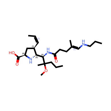 C/C=C\[C@@H]1C[C@H](C(=O)O)N[C@H]1[C@@H](NC(=O)CC/C(C)=C/NCCC)C(C)(CCC)OC